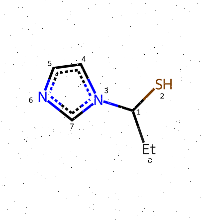 CCC(S)n1ccnc1